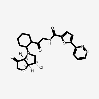 O=C(NCC(=O)C1CCCCC1N1C[C@H](Cl)[C@H]2OCC(=O)[C@H]21)c1ccc(-c2cccnn2)s1